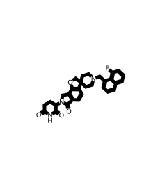 O=C1CCC(N2Cc3c(ccc4c3OCC43CCN(Cc4cccc5cccc(F)c45)CC3)C2=O)C(=O)N1